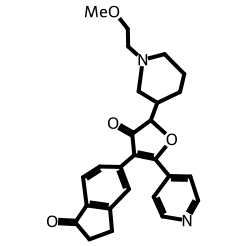 COCCN1CCCC(C2OC(c3ccncc3)=C(c3ccc4c(c3)CCC4=O)C2=O)C1